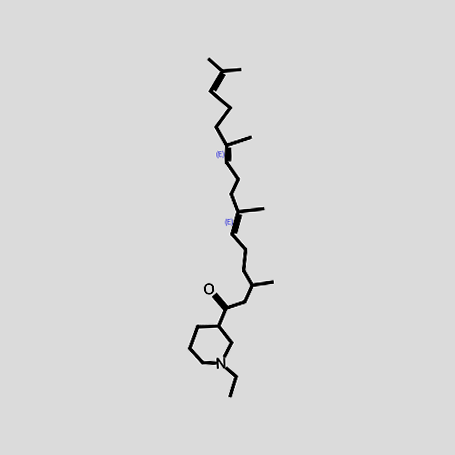 CCN1CCCC(C(=O)CC(C)CC/C=C(\C)CC/C=C(\C)CCC=C(C)C)C1